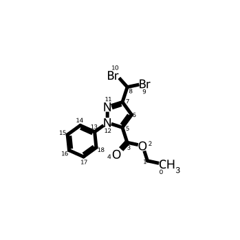 CCOC(=O)c1cc(C(Br)Br)nn1-c1ccccc1